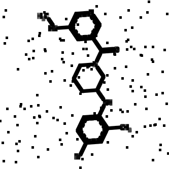 CNc1cncc(C(=O)N2CCCC(Nc3ccc(Br)cc3C)C2)c1